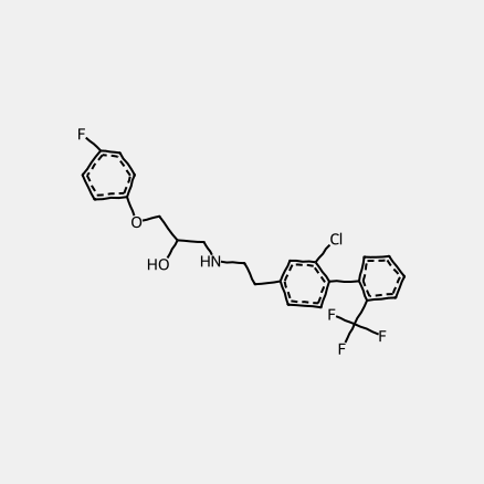 OC(CNCCc1ccc(-c2ccccc2C(F)(F)F)c(Cl)c1)COc1ccc(F)cc1